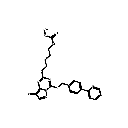 CC(C)(C)OC(=O)NCCCCNc1nc(NCc2ccc(-c3ccccn3)cc2)n2ncc(Br)c2n1